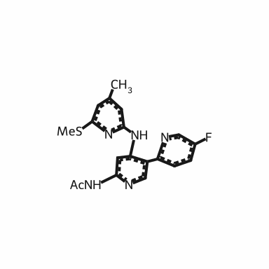 CSc1cc(C)cc(Nc2cc(NC(C)=O)ncc2-c2ccc(F)cn2)n1